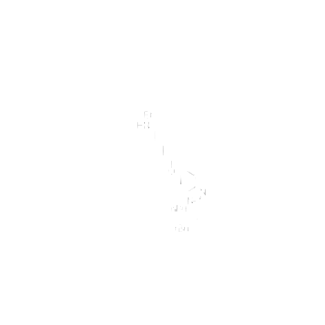 CCCCn1c(CC(C)CC(C)(C)C)nc2ccc(OCCCCCNCC)cc21